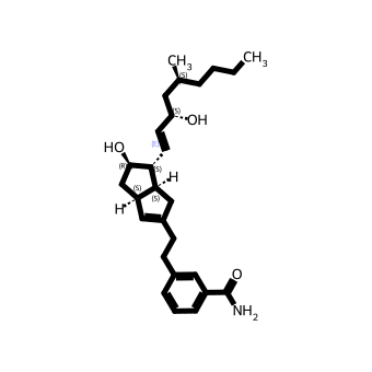 CCCC[C@H](C)C[C@H](O)/C=C/[C@@H]1[C@H]2CC(CCc3cccc(C(N)=O)c3)=C[C@H]2C[C@H]1O